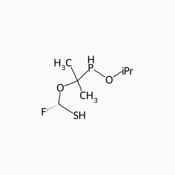 CC(C)OPC(C)(C)O[C@@H](F)S